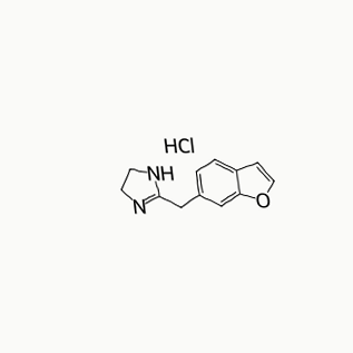 Cl.c1cc2ccc(CC3=NCCN3)cc2o1